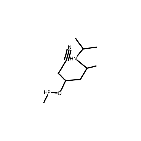 CPOC(CC#N)CC(C)NC(C)C